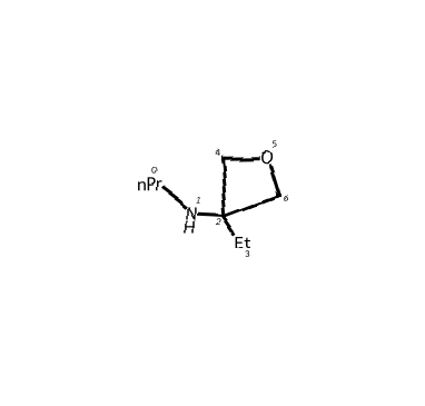 CCCNC1(CC)COC1